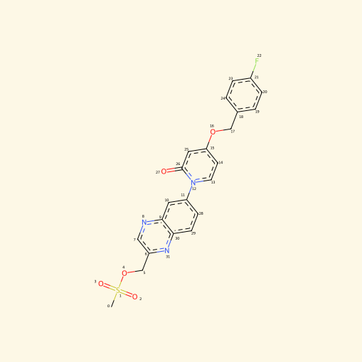 CS(=O)(=O)OCc1cnc2cc(-n3ccc(OCc4ccc(F)cc4)cc3=O)ccc2n1